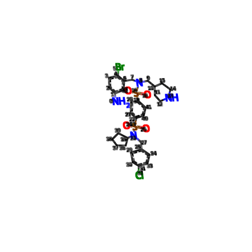 Nc1ccc(Br)c(CN(CC2CCNCC2)S(=O)(=O)c2ccc(S(=O)(=O)N(Cc3ccc(Cl)cc3)C3CCCC3)cc2)c1